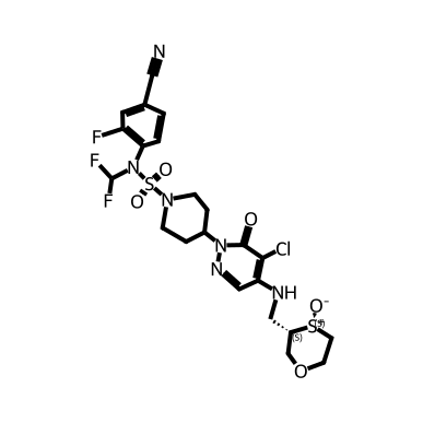 N#Cc1ccc(N(C(F)F)S(=O)(=O)N2CCC(n3ncc(NC[C@H]4COCC[S@@+]4[O-])c(Cl)c3=O)CC2)c(F)c1